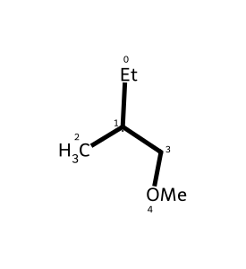 CC[C](C)COC